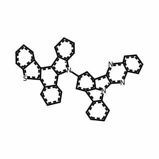 c1ccc2nc3c(nc2c1)c1cc(-n2c4ccccc4c4c5c6ccccc6sc5c5ccccc5c42)cc2c4ccccc4n3c21